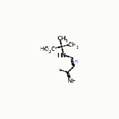 CC(C)(N/C=C\C(=N)I)C(=O)O